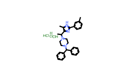 Cc1cccc(-c2nc(C(C)N3CCN(C(c4ccccc4)c4ccccc4)CC3)c(C)[nH]2)c1.Cl.Cl.Cl